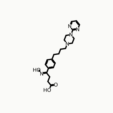 O=C(O)CC/C(=N/O)c1ccc(CCCCN2CCN(c3ncccn3)CC2)cc1